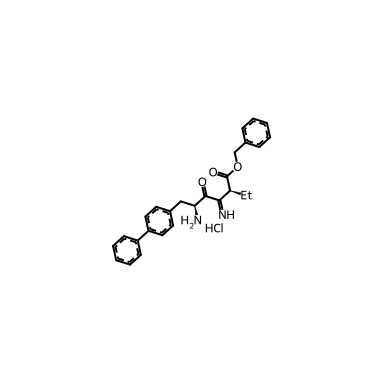 CC[C@@H](C(=N)C(=O)[C@@H](N)Cc1ccc(-c2ccccc2)cc1)C(=O)OCc1ccccc1.Cl